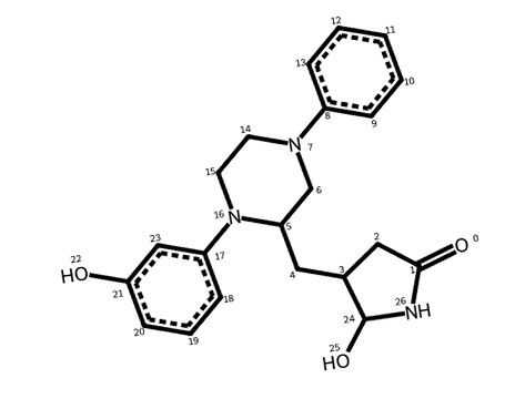 O=C1CC(CC2CN(c3ccccc3)CCN2c2cccc(O)c2)C(O)N1